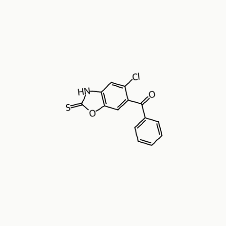 O=C(c1ccccc1)c1cc2oc(=S)[nH]c2cc1Cl